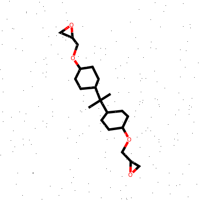 CC(C)(C1CCC(OCC2CO2)CC1)C1CCC(OCC2CO2)CC1